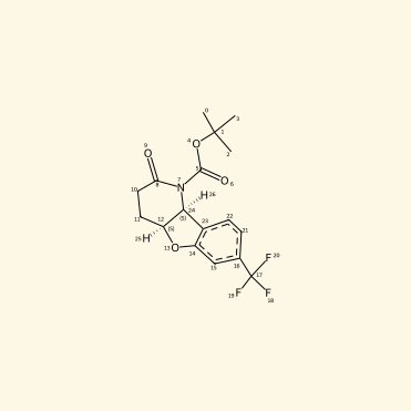 CC(C)(C)OC(=O)N1C(=O)CC[C@@H]2Oc3cc(C(F)(F)F)ccc3[C@@H]21